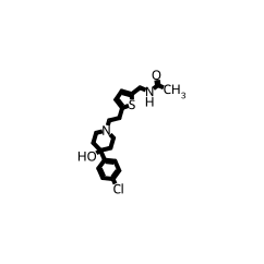 CC(=O)NCc1ccc(CCN2CCC(O)(c3ccc(Cl)cc3)CC2)s1